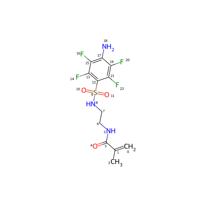 C=C(C)C(=O)NCCNS(=O)(=O)c1c(F)c(F)c(N)c(F)c1F